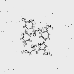 Cc1ccc(-c2cc(C)n(C[C@@H](O)CO)n2)cc1NC(=O)C1=CNC(=O)C[C@H]1c1ccc(F)cc1